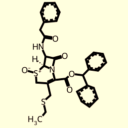 CCSCC1=C(C(=O)OC(c2ccccc2)c2ccccc2)N2C(=O)C(NC(=O)Cc3ccccc3)[C@@H]2[S+]([O-])C1